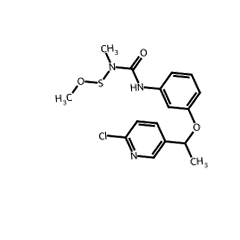 COSN(C)C(=O)Nc1cccc(OC(C)c2ccc(Cl)nc2)c1